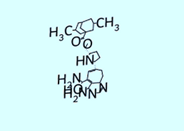 CC1CC2CC(C)CC(C(=O)OC[C@@H]3CC[C@H](C4=CC(C(N)O)=C5C(N)=NC=NC5CC4)N3)(C1)C2